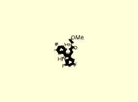 COCCNC(=O)CCc1c(-c2ccc(F)cc2)[nH]c2c(F)cc(F)cc12